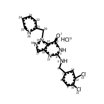 Cl.O=c1[nH]c(NCc2ccc(Cl)c(Cl)c2)nc2cnn(Cc3ccccn3)c12